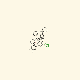 Cc1cc2c(cc1C)-c1cc(C)c(C)[c]([Zr+2]([C]3=CC(C4(C)CCCCC4)=CC3C)=[C](c3ccccc3)c3ccccc3)c1C2.[Cl-].[Cl-]